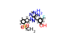 C=CS(=O)(=O)c1cccc2c1CC(n1nc(-c3cc(O)cc(F)c3)c3c(N)ncnc31)C2